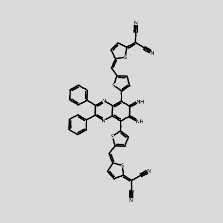 N#CC(C#N)=c1cc/c(=C/c2ccc(C3=c4nc(-c5ccccc5)c(-c5ccccc5)nc4=C(c4ccc(/C=c5/ccc(=C(C#N)C#N)s5)s4)C(=N)C3=N)s2)s1